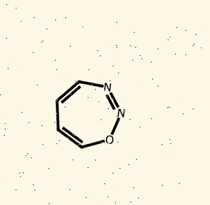 [C]1=CC=CON=N1